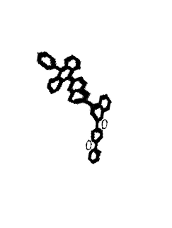 c1ccc(-c2c3ccccc3c(-c3ccc4cc(-c5cc6c7cc8oc9ccccc9c8cc7oc6c6ccccc56)ccc4c3)c3ccccc23)cc1